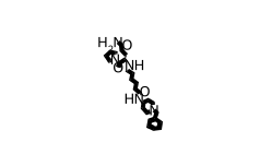 NC(=O)CC[C@H](NCCCCCC(=O)NC1CCN(Cc2ccccc2)CC1)C(=O)N1CCCC1